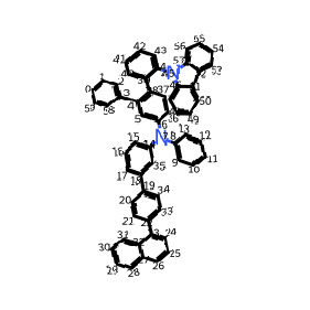 c1ccc(-c2cc(N(c3ccccc3)c3cccc(-c4ccc(-c5cccc6ccccc56)cc4)c3)ccc2-c2ccccc2-n2c3ccccc3c3ccccc32)cc1